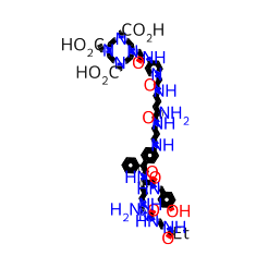 CCC(=O)NCCNC(=O)/N=C(/N)NCCC[C@@H](NC(=O)[C@@H](c1ccccc1)c1ccc(NCCCNC(=O)[C@H](N)CCCNC(=O)CN2CCC(NC(=O)CN3CCN(CC(=O)O)CCN(CC(=O)O)CCN(CC(=O)O)CC3)CC2)cc1)C(=O)NCc1ccc(O)cc1